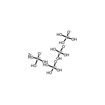 [O-][N+](O)(O)O.[O-][N+](O)(O)O.[O-][N+](O)(O)O.[O-][N+](O)(O)O.[Zr]